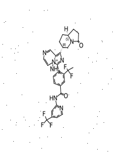 CC(F)(F)c1cc(C(=O)Nc2cc(C(F)(F)F)ccn2)ccc1C1=NC([C@@H]2CC[C@H]3CCC(=O)N3C2)=C2C=NC=C[N+]12N